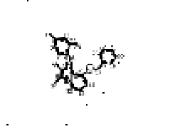 Cc1ccc(Cn2c(C)c(C)[n+]3cccc(OCc4ccccc4)c23)c(C)c1